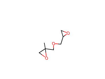 CC1(COCC2CO2)CO1